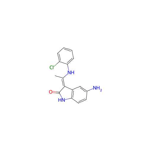 CC(Nc1ccccc1Cl)=C1C(=O)Nc2ccc(N)cc21